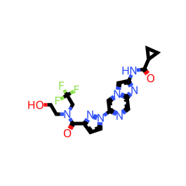 O=C(Nc1cn2cc(-n3ccc(C(=O)N(CCO)CC(F)(F)F)n3)ncc2n1)C1CC1